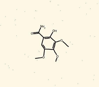 COc1cc(C(N)=O)c(O)c(OC)c1OC